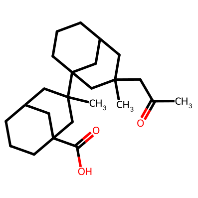 CC(=O)CC1(C)CC2CCCC(C3(C)CC4CCCC(C(=O)O)(C4)C3)(C2)C1